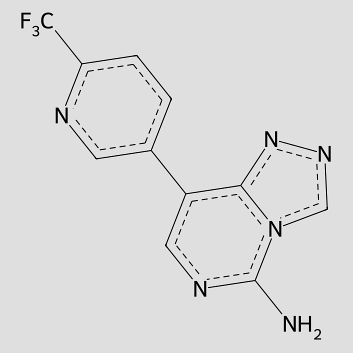 Nc1ncc(-c2ccc(C(F)(F)F)nc2)c2nncn12